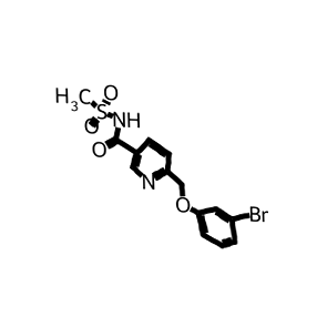 CS(=O)(=O)NC(=O)c1ccc(COc2cccc(Br)c2)nc1